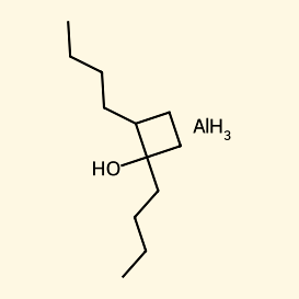 CCCCC1CCC1(O)CCCC.[AlH3]